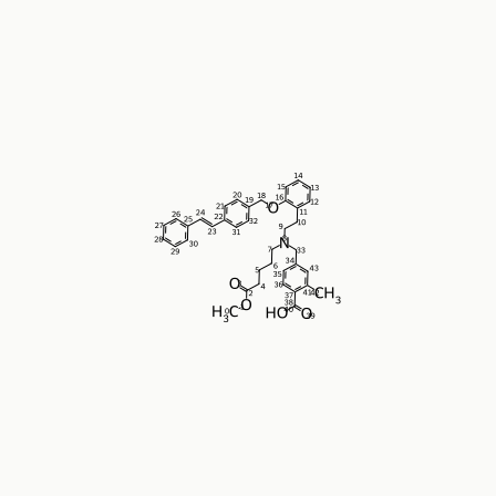 COC(=O)CCCCN(CCc1ccccc1OCc1ccc(C=Cc2ccccc2)cc1)Cc1ccc(C(=O)O)c(C)c1